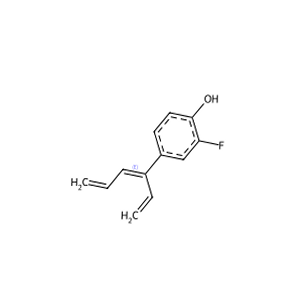 C=C/C=C(\C=C)c1ccc(O)c(F)c1